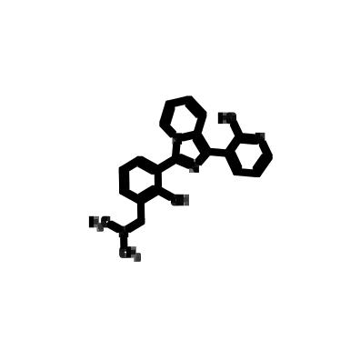 CN(C)Cc1cccc(-c2nc(-c3cccnc3O)c3ccccn23)c1O